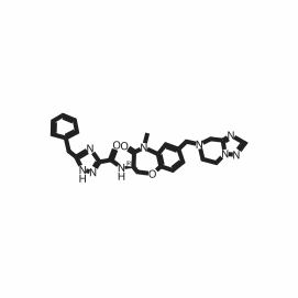 CN1C(=O)[C@H](NC(=O)c2n[nH]c(Cc3ccccc3)n2)COc2ccc(CN3CCn4ncnc4C3)cc21